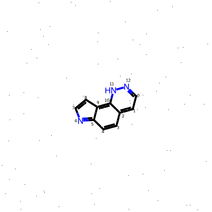 c1cc2ccc3nccc3c2[nH]n1